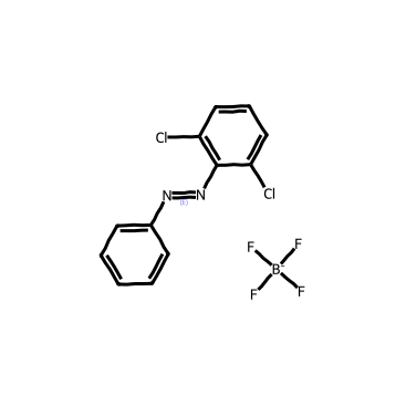 Clc1cccc(Cl)c1/N=N/c1ccccc1.F[B-](F)(F)F